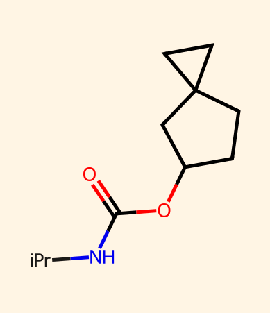 CC(C)NC(=O)OC1CCC2(CC2)C1